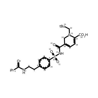 CC(C)C(=O)NCCc1ccc(S(=O)(=O)NC(=O)C2=CC=C(C(=O)O)N(CC(C)(C)C)C2)cc1